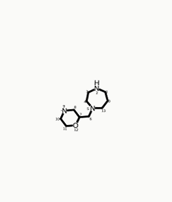 C1CNCCN(CC2C[N]CCO2)C1